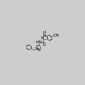 N#Cc1ccc2c(C(=O)Nc3cnn(Cc4ccccc4)c3)n[nH]c2c1